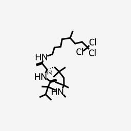 C=C(NCCCCC(C)CCC(Cl)(Cl)Cl)[C@H](CC(C)(C)CC(C)(C)NC)NC(=C)C(C)(C)C(C)C